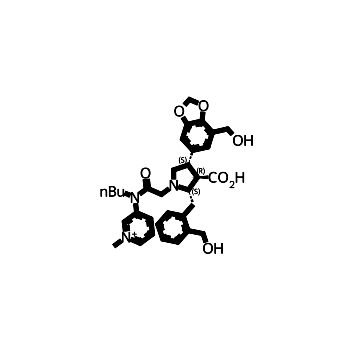 CCCCN(C(=O)CN1C[C@H](c2cc(CO)c3c(c2)OCO3)[C@@H](C(=O)O)[C@@H]1Cc1ccccc1CO)c1ccc[n+](C)c1